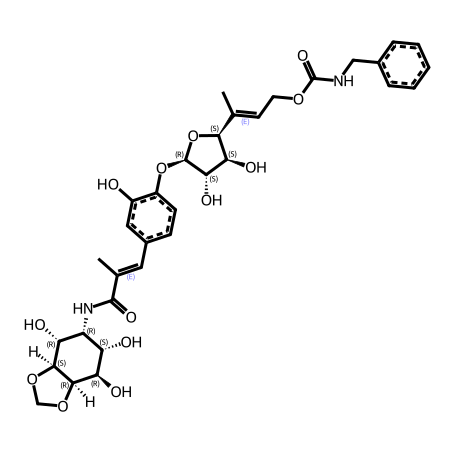 C/C(=C\c1ccc(O[C@H]2O[C@@H](/C(C)=C/COC(=O)NCc3ccccc3)[C@@H](O)[C@@H]2O)c(O)c1)C(=O)N[C@@H]1[C@H](O)[C@@H](O)[C@H]2OCO[C@H]2[C@@H]1O